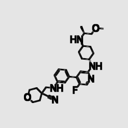 COC[C@H](C)N[C@H]1CC[C@H](Nc2cc(-c3cccc(NCC4(C#N)CCOCC4)c3)c(F)cn2)CC1